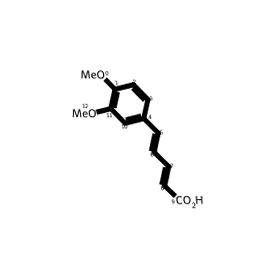 COc1ccc(C=CC=CC(=O)O)cc1OC